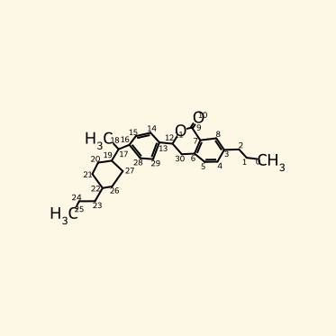 CCCc1ccc2c(c1)C(=O)OC(c1ccc(C(C)C3CCC(CCC)CC3)cc1)C2